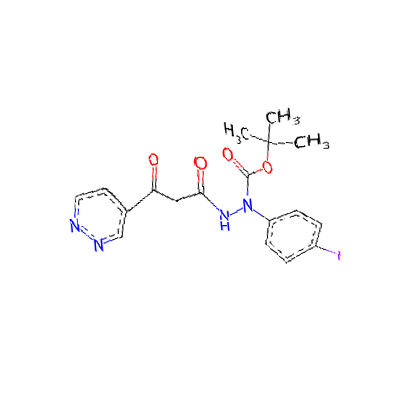 CC(C)(C)OC(=O)N(NC(=O)CC(=O)c1ccnnc1)c1ccc(I)cc1